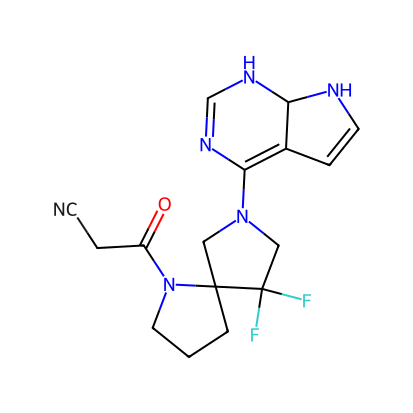 N#CCC(=O)N1CCCC12CN(C1=C3C=CNC3NC=N1)CC2(F)F